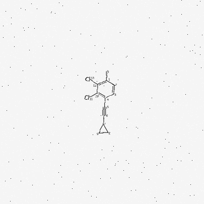 Cc1ccc(C#CC2CC2)c(Cl)c1Cl